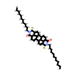 CCCCCCCCCCCCN1C(=O)c2ccc3c4ccc5c6c(ccc(c7ccc(c2c37)C1=S)c64)C(=O)N(CCCCCCCCCCCC)C5=S